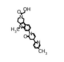 Cc1ccc(C2C=CN(c3ccc4c5c(n(C)c4c3)CCN(C(=O)CO)C5)C(=O)C2)nc1